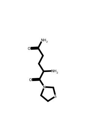 NC(=O)CCC(N)C(=O)N1CCSC1